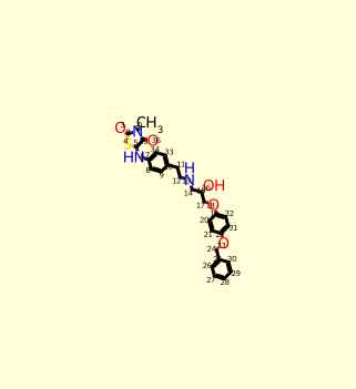 CN1C(=O)SC(Nc2ccc(CCNCC(O)COc3ccc(OCc4ccccc4)cc3)cc2)C1=O